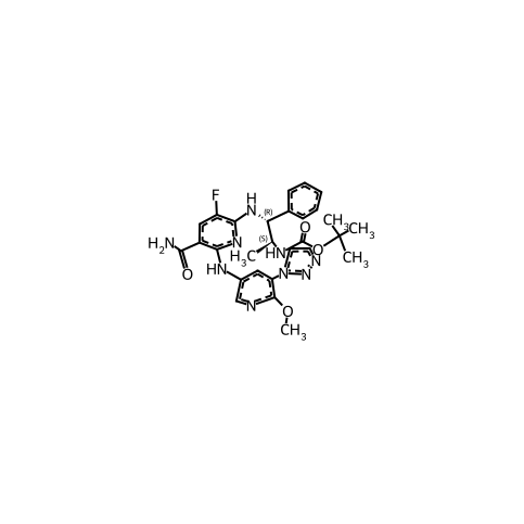 COc1ncc(Nc2nc(N[C@H](c3ccccc3)[C@H](C)NC(=O)OC(C)(C)C)c(F)cc2C(N)=O)cc1-n1ccnn1